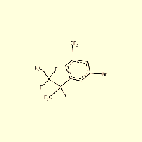 FC(F)(F)c1cc(Br)cc(C(F)(C(F)(F)F)C(F)(F)C(F)(F)F)c1